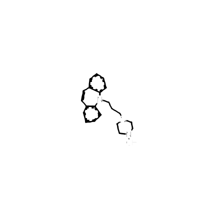 CN1CCN(CCCN2c3ccccc3C=Cc3ccccc32)CC1